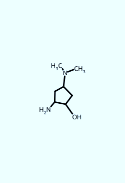 CN(C)C1CC(N)C(O)C1